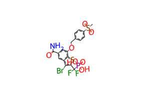 CS(=O)(=O)c1ccc(COc2cc(C(N)=O)cc3c(Br)c(C(F)(F)P(=O)(O)O)sc23)cc1